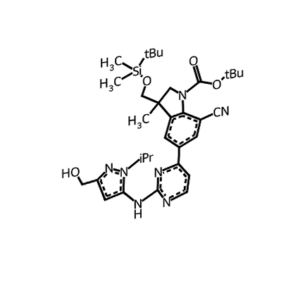 CC(C)n1nc(CO)cc1Nc1nccc(-c2cc(C#N)c3c(c2)C(C)(CO[Si](C)(C)C(C)(C)C)CN3C(=O)OC(C)(C)C)n1